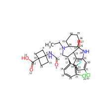 CCN1[C@@H](C(=O)NC23CCC2(C(=O)O)CC3)[C@H](c2cccc(Cl)c2F)[C@]2(C(=O)Nc3cc(Cl)ccc32)C12CCCCC2